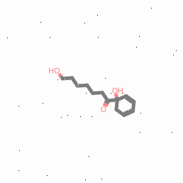 O=C(CCCCCCO)C1(O)C=CC=CC1